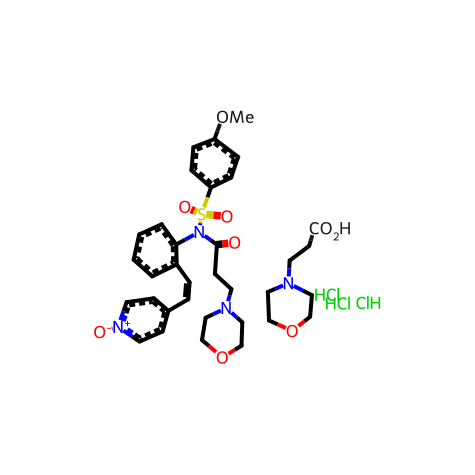 COc1ccc(S(=O)(=O)N(C(=O)CCN2CCOCC2)c2ccccc2C=Cc2cc[n+]([O-])cc2)cc1.Cl.Cl.Cl.O=C(O)CCN1CCOCC1